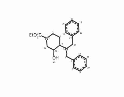 CCOC(=O)N1CCC(N(Cc2ccccc2)Cc2ccccc2)C(O)C1